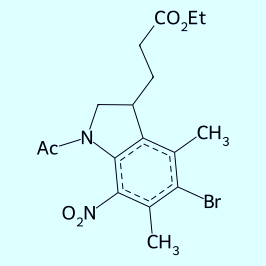 CCOC(=O)CCC1CN(C(C)=O)c2c1c(C)c(Br)c(C)c2[N+](=O)[O-]